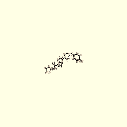 O=C(Nc1nnc(N2CCN(Cc3ccc(F)cc3)CC2)s1)NC1CCCC1